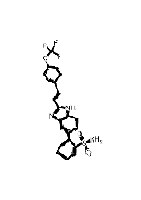 NS(=O)(=O)c1ccccc1-c1ccc2[nH]c(/C=C/c3ccc(OC(F)(F)F)cc3)nc2c1